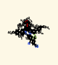 Cc1cc(C)c(-c2ccc3c(c2)c2cc(-c4c(C)cc(C)cc4C)ccc2n3-c2cc(C#N)c(-c3ccc(C#N)cc3C(F)(F)F)cc2-n2c3ccc(-c4c(C)cc(C)cc4C)cc3c3cc(-c4c(C)cc(C)cc4C)ccc32)c(C)c1